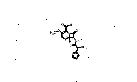 COC1=C(C(=O)O)N2C(=O)[C@@H](NC(=O)C(N)c3cccs3)[C@@H]2SC1